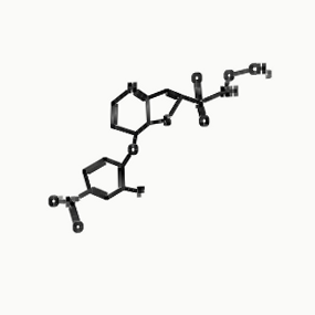 CONS(=O)(=O)C1=CC2=NC=CC(Oc3ccc([N+](=O)[O-])cc3F)C2S1